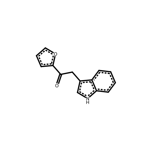 O=C(Cc1c[nH]c2ccccc12)c1ccco1